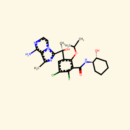 Cc1nc([C@@](C)(O)c2cc(Cl)c(F)c(C(=O)N[C@@H]3CCCC[C@H]3O)c2OC(C)C)n2ccnc(N)c12